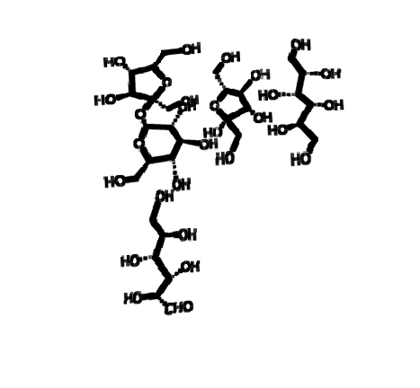 O=C[C@H](O)[C@@H](O)[C@H](O)[C@H](O)CO.OC[C@@H](O)[C@@H](O)[C@H](O)[C@@H](O)CO.OC[C@H]1O[C@@](CO)(O[C@H]2O[C@H](CO)[C@@H](O)[C@H](O)[C@H]2O)[C@@H](O)[C@@H]1O.OC[C@H]1O[C@](O)(CO)[C@@H](O)[C@@H]1O